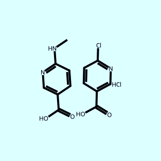 CNc1ccc(C(=O)O)cn1.Cl.O=C(O)c1ccc(Cl)nc1